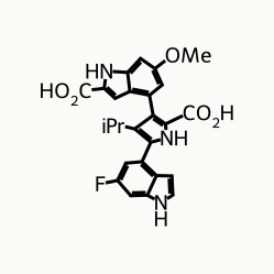 COc1cc(-c2c(C(=O)O)[nH]c(-c3cc(F)cc4[nH]ccc34)c2C(C)C)c2cc(C(=O)O)[nH]c2c1